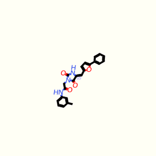 Cc1cccc(NC(=O)CN2C(=O)N/C(=C\c3ccc(-c4ccccc4)o3)C2=O)c1